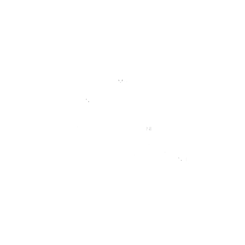 COc1cc(NC(=O)C(C)(C)N)ccc1N1CCOCC1=O